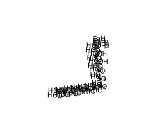 O=C(O)O.O=C(O)O.O=C(O)O.O=C(O)O.O=C(O)O.O=C(O)O.O=P(O)(O)O.O=P(O)(O)O.O=P(O)(O)O.O=P(O)(O)O.O=P(O)(O)O.O=P(O)(O)O.[CaH2].[CaH2].[CaH2]